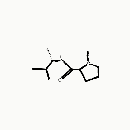 CC(C)[C@H](C)NC(=O)[C@@H]1CCCN1C